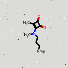 CNCCCN(C)c1c(C)c(=O)c1=O